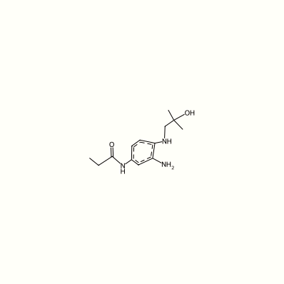 CCC(=O)Nc1ccc(NCC(C)(C)O)c(N)c1